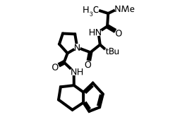 CNC(C)C(=O)NC(C(=O)N1CCCC1C(=O)NC1CCCc2ccccc21)C(C)(C)C